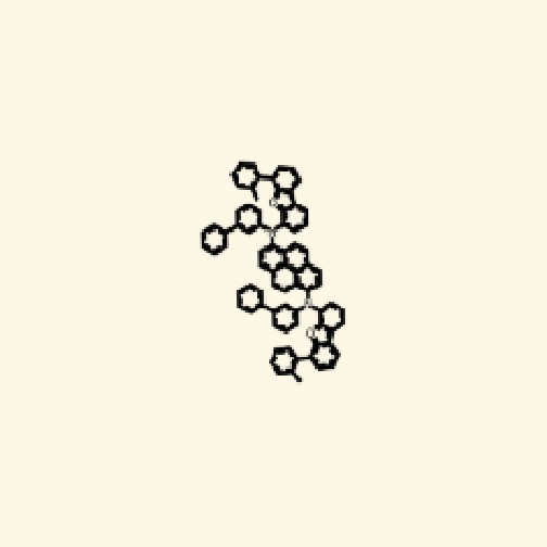 Cc1ccccc1-c1cccc2c1oc1c(N(c3cccc(-c4ccccc4)c3)c3ccc4ccc5c(N(c6cccc(-c7ccccc7)c6)c6cccc7c6oc6c(-c8ccccc8C)cccc67)ccc6ccc3c4c65)cccc12